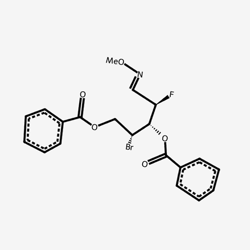 CON=C[C@@H](F)[C@H](OC(=O)c1ccccc1)[C@H](Br)COC(=O)c1ccccc1